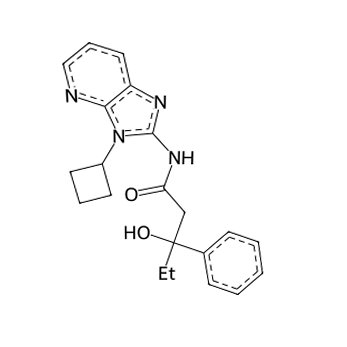 CCC(O)(CC(=O)Nc1nc2cccnc2n1C1CCC1)c1ccccc1